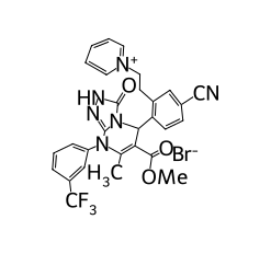 COC(=O)C1=C(C)N(c2cccc(C(F)(F)F)c2)c2n[nH]c(=O)n2C1c1ccc(C#N)cc1CC[n+]1ccccc1.[Br-]